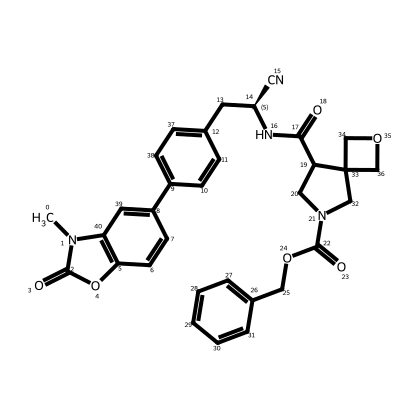 Cn1c(=O)oc2ccc(-c3ccc(C[C@@H](C#N)NC(=O)C4CN(C(=O)OCc5ccccc5)CC45COC5)cc3)cc21